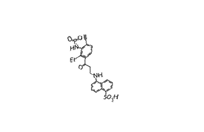 C#Cc1ccc(C(=O)CCNc2cccc3c(S(=O)(=O)O)cccc23)c(CC)c1NP(=O)=O